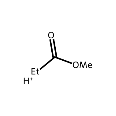 CCC(=O)OC.[H+]